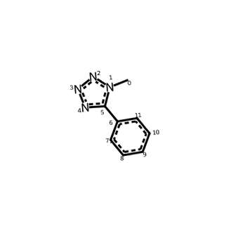 Cn1nnnc1-c1[c]cccc1